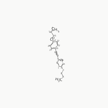 CCCCc1ccc(C#Cc2ccc(OCCC)cc2)nc1